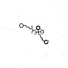 O=C(NCCCCC1CCCCC1)OC(=O)C(CCCC=Cc1cccnc1)(C1=NCCO1)c1ccccc1